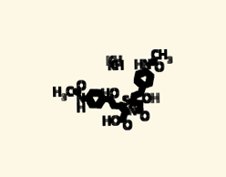 CC(=O)Nc1ccc([C@@H](O)CC2=C(C(=O)O)N3C(=O)CC3(C[C@H](O)c3ccc(NC(C)=O)cc3)S2)cc1.[KH].[KH]